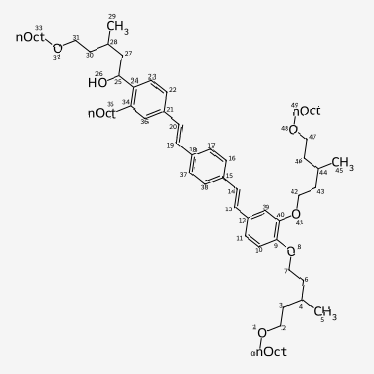 CCCCCCCCOCCC(C)CCOc1ccc(C=Cc2ccc(C=Cc3ccc(C(O)CC(C)CCOCCCCCCCC)c(CCCCCCCC)c3)cc2)cc1OCCC(C)CCOCCCCCCCC